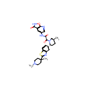 C[C@H]1CC[C@H](c2ccc3sc(C4(C)CCN(C)CC4)nc3c2)N(C(=O)C(=O)Nc2cnc3o[nH]c(=O)c3c2)C1